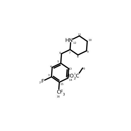 CC(=O)O.Fc1cc(CC2CCCCN2)ccc1C(F)(F)F